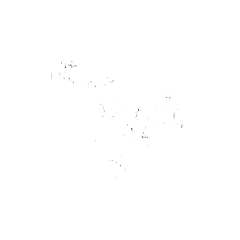 CC(C)(C)CC[C@H](c1ccc(C(=O)NCc2nn[nH]n2)cc1)N1C(=O)C(c2cc(Cl)cc(Cl)c2)=NC12CCC(C(C)(F)F)CC2